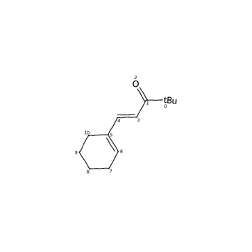 CC(C)(C)C(=O)C=CC1=CCCCC1